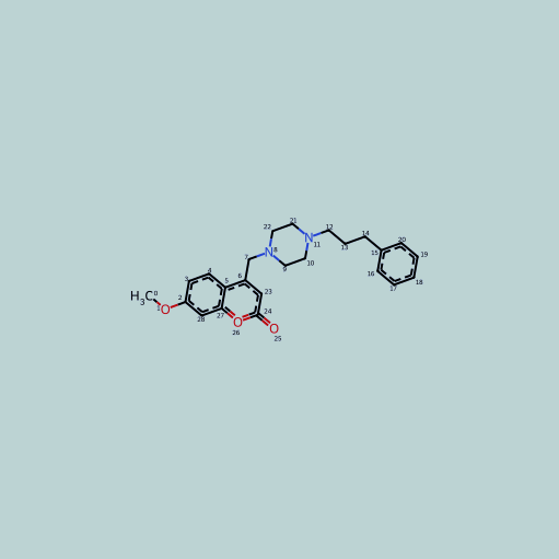 COc1ccc2c(CN3CCN(CCCc4ccccc4)CC3)cc(=O)oc2c1